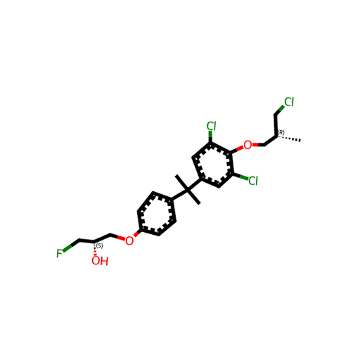 C[C@@H](CCl)COc1c(Cl)cc(C(C)(C)c2ccc(OC[C@H](O)CF)cc2)cc1Cl